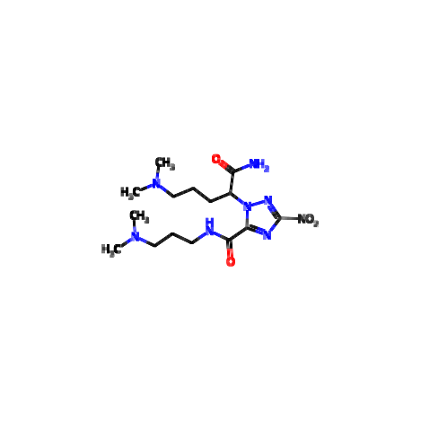 CN(C)CCCNC(=O)c1nc([N+](=O)[O-])nn1C(CCCN(C)C)C(N)=O